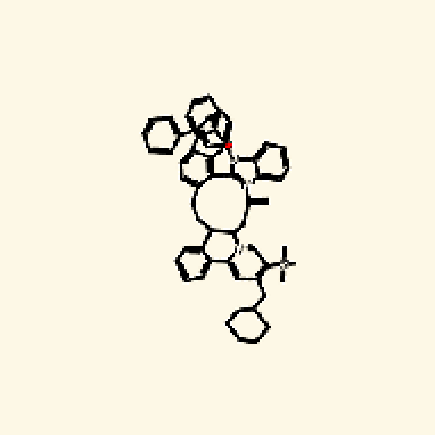 C=C1CC2C(CCc3ccc4c(oc5ccccc54)c3-c3n(-c4cccc(-c5ccccc5)c4)c4ccccc4[n+]31)c1ccccc1-c1cc(CC3CCCCC3)c([Si](C)(C)C)c[n+]12